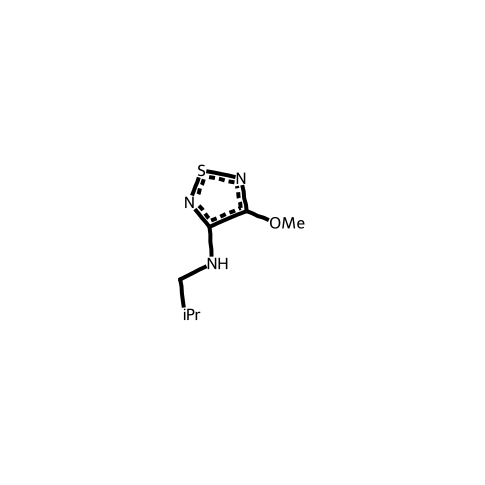 COc1nsnc1NCC(C)C